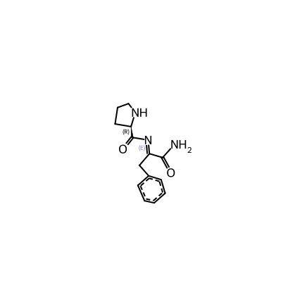 NC(=O)/C(Cc1ccccc1)=N/C(=O)[C@H]1CCCN1